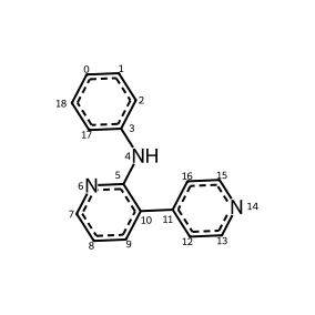 c1ccc(Nc2ncccc2-c2ccncc2)cc1